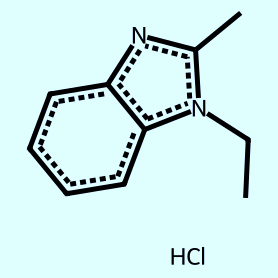 CCn1c(C)nc2ccccc21.Cl